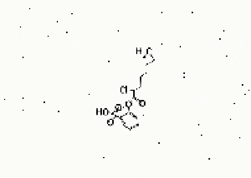 CCCCCCC(Cl)C(=O)Oc1ccccc1S(=O)(=O)O